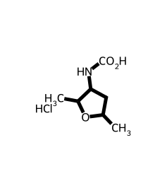 CC1CC(NC(=O)O)C(C)O1.Cl